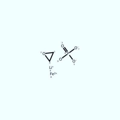 C1CO1.O=P([O-])([O-])[O-].[Fe+2].[Li+]